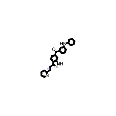 O=C(c1cccc(Nc2ccccc2)c1)c1ccc2c(/C=C/c3ccccn3)n[nH]c2c1